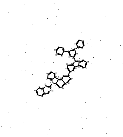 c1ccc(-c2cc(-c3ccccc3)cc(-n3c4ccccc4c4cc(-c5ccc6ccc7c(c6c5)c5ccccc5n7-c5ncc6ccccc6n5)ccc43)c2)cc1